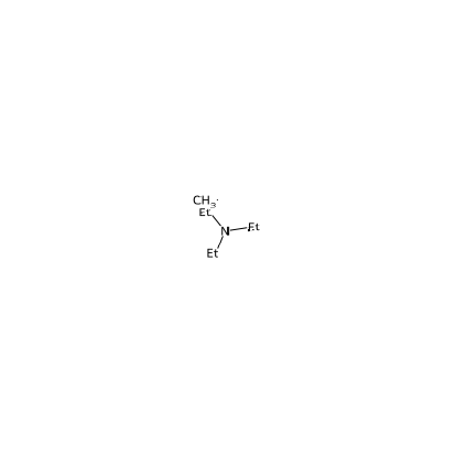 CCN(CC)CC.[CH3]